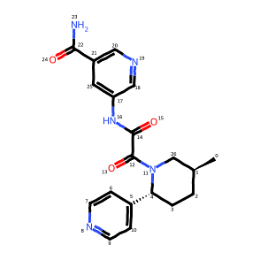 C[C@H]1CC[C@H](c2ccncc2)N(C(=O)C(=O)Nc2cncc(C(N)=O)c2)C1